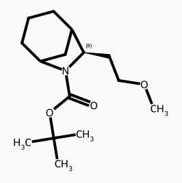 COCC[C@@H]1C2CCCC(C2)N1C(=O)OC(C)(C)C